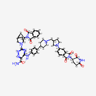 NC(=O)c1nnc(N2CC3CC(N4C(=O)c5ccccc5C4=O)C2C3)nc1Nc1ccc(C2CCN(CC3CCN(c4ccc5c(c4)C(=O)N(C4CCC(=O)NC4=O)C5=O)C3)CC2)cc1